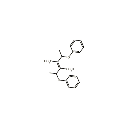 CC(Oc1ccccc1)/C(C(=O)O)=C(\C(=O)O)C(C)Oc1ccccc1